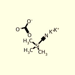 C[Si](C)(C)C#N.O=C([O-])[O-].[K+].[K+]